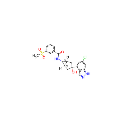 CS(=O)(=O)c1cccc(C(=O)NC2[C@H]3CC(O)(c4cc(Cl)cc5[nH]ncc45)C[C@@H]23)c1